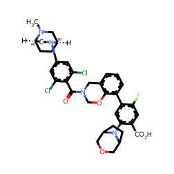 CN1C[C@H]2CC[C@@H]1CN2c1cc(Cl)c(C(=O)N2COc3c(cccc3-c3cc(N4C5CCC4COC5)c(C(=O)O)cc3F)C2)c(Cl)c1